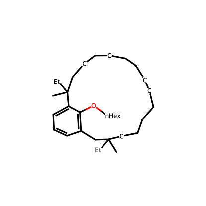 CCCCCCOc1c2cccc1C(C)(CC)CCCCCCCCCCCCC(C)(CC)C2